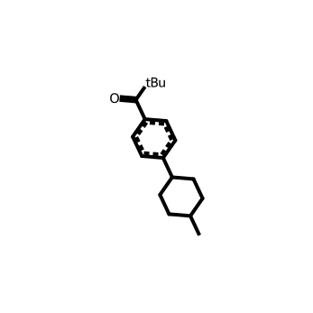 CC1CCC(c2ccc(C(=O)C(C)(C)C)cc2)CC1